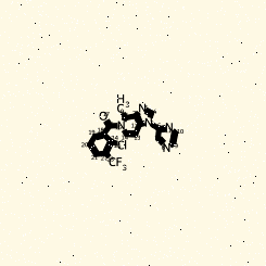 CC1c2ncn(-c3cnccn3)c2C=CN1C(=O)c1cccc(C(F)(F)F)c1Cl